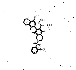 CCOC(=O)[C@@H](OC(C)(C)C)c1c(C)c2c(c(C)c1-c1cc(F)c3c(c1C)CCCO3)CN(S(=O)(=O)c1ccccc1[N+](=O)[O-])CC2